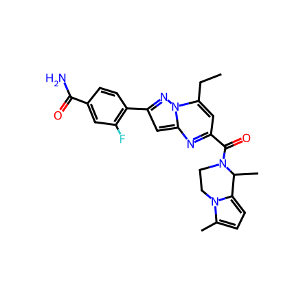 CCc1cc(C(=O)N2CCn3c(C)ccc3C2C)nc2cc(-c3ccc(C(N)=O)cc3F)nn12